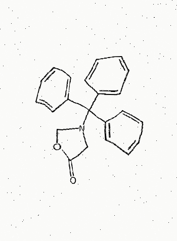 O=C1CN(C(c2ccccc2)(c2ccccc2)c2ccccc2)CO1